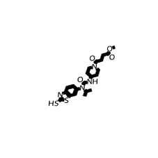 COC(=O)CCC(=O)N1CCC(NC(=O)N(c2ccc3nc(S)sc3c2)C(C)C)CC1